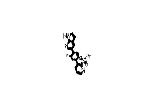 CC(C)S(=O)(=O)c1ncccc1-c1ccc(-c2cnc3[nH]ccc3c2)c(F)c1